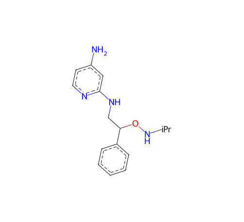 CC(C)NOC(CNc1cc(N)ccn1)c1ccccc1